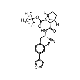 CC(C)(C)OC(=O)N1[C@@H]2CC[C@@H](C2)[C@H]1C(=O)N[C@H](C#N)Cc1ccc(-c2ccsc2)cc1F